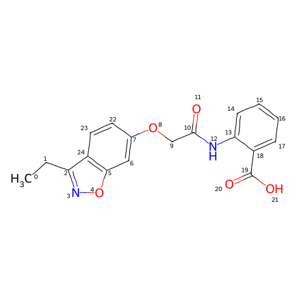 CCc1noc2cc(OCC(=O)Nc3ccccc3C(=O)O)ccc12